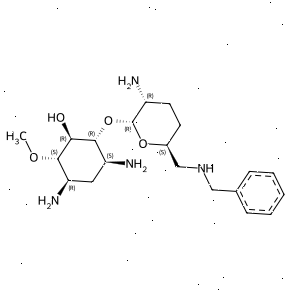 CO[C@@H]1[C@@H](O)[C@H](O[C@H]2O[C@H](CNCc3ccccc3)CC[C@H]2N)[C@@H](N)C[C@H]1N